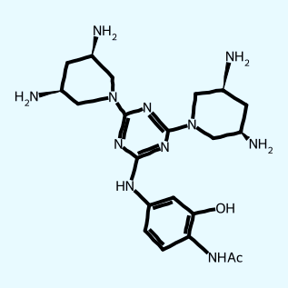 CC(=O)Nc1ccc(Nc2nc(N3C[C@H](N)C[C@H](N)C3)nc(N3C[C@H](N)C[C@H](N)C3)n2)cc1O